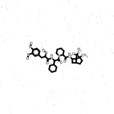 CC1(C)C2(C)CCC3CC(OC(=O)C4CCCCN4C(=O)C(NC(=O)C(Cc4ccc(N=O)c(N=O)c4)N=O)C4CCCCC4)C312